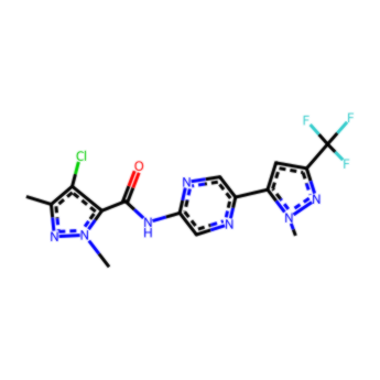 Cc1nn(C)c(C(=O)Nc2cnc(-c3cc(C(F)(F)F)nn3C)cn2)c1Cl